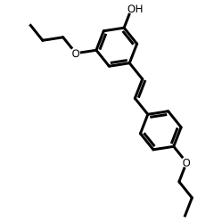 CCCOc1ccc(/C=C/c2cc(O)cc(OCCC)c2)cc1